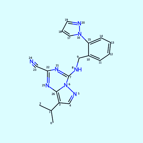 CC(C)c1cnn2c(NCc3ccccc3-n3cccn3)nc(C#N)nc12